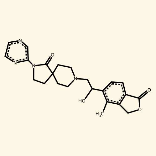 Cc1c(C(O)CN2CCC3(CC2)CCN(c2cnccn2)C3=O)ccc2c1COC2=O